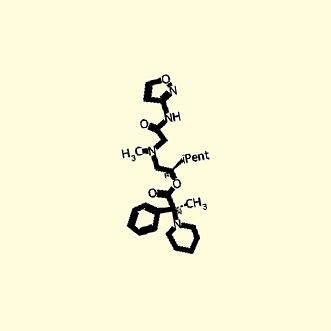 CCCC(C)[C@H](CN(C)CC(=O)Nc1ccon1)OC(=O)[C@](C)(c1ccccc1)N1CCCCC1